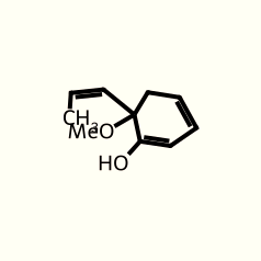 C/C=C\C1(OC)CC=CC=C1O